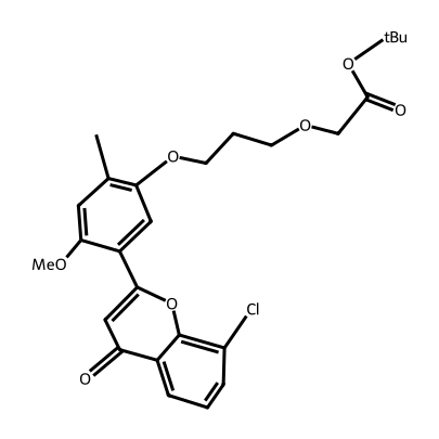 COc1cc(C)c(OCCCOCC(=O)OC(C)(C)C)cc1-c1cc(=O)c2cccc(Cl)c2o1